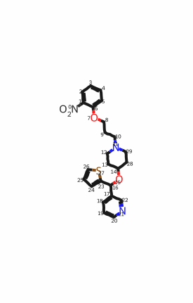 O=[N+]([O-])c1ccccc1OCCCN1CCC(OC(c2cccnc2)c2cccs2)CC1